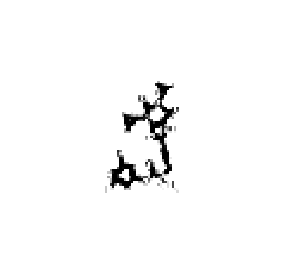 CN(CC#Cc1nc2c([nH]1)c(=O)n(C1CC1)c(=O)n2C1CC1)C(=O)Oc1cc(F)cc(F)c1